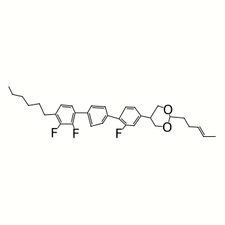 C/C=C/CCC1OCC(c2ccc(-c3ccc(-c4ccc(CCCCCC)c(F)c4F)cc3)c(F)c2)CO1